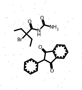 CCC(Br)(CC)C(=O)NC(N)=O.O=C1c2ccccc2C(=O)C1c1ccccc1